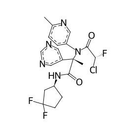 Cc1ccc(N(C(=O)[C@H](F)Cl)[C@](C)(C(=O)N[C@H]2CCC(F)(F)C2)c2cncnc2)cn1